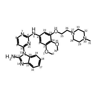 COc1cc(Nc2nccc(-n3c(N)nc4ccccc43)n2)cc(OCCN2CCN(C)CC2)c1OC